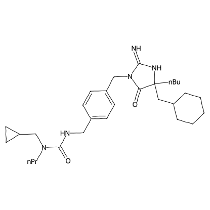 CCCCC1(CC2CCCCC2)NC(=N)N(Cc2ccc(CNC(=O)N(CCC)CC3CC3)cc2)C1=O